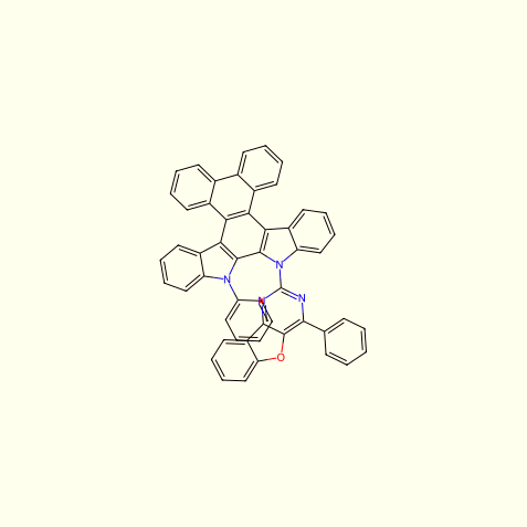 c1ccc(-c2nc(-n3c4ccccc4c4c5c6ccccc6c6ccccc6c5c5c6ccccc6n(-c6ccccc6)c5c43)nc3c2oc2ccccc23)cc1